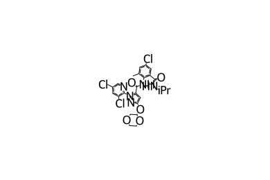 Cc1cc(Cl)cc(C(=O)NC(C)C)c1NC(=O)c1cc(OC2COCCO2)nn1-c1ncc(Cl)cc1Cl